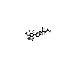 CSCc1c(F)c(Cl)c(-c2ccc3nc(NC(=O)C4CC4F)cn3c2)c2cn[nH]c12